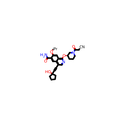 CC(C)Oc1cc2c(O[C@@H]3CCCN(C(=O)CC#N)C3)ncc(C#CC3(O)CCCC3)c2cc1C(N)=O